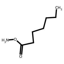 CCCCCCC(=O)ON